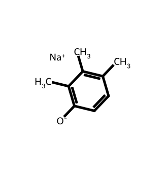 Cc1ccc([O-])c(C)c1C.[Na+]